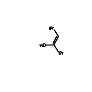 CC(C)/C=C(\O)C(C)C